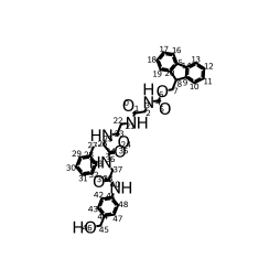 O=C(CNC(=O)OCC1c2ccccc2-c2ccccc21)NCC(=O)N[C@@H](Cc1ccccc1)C(=O)NCC(=O)Nc1ccc(CO)cc1